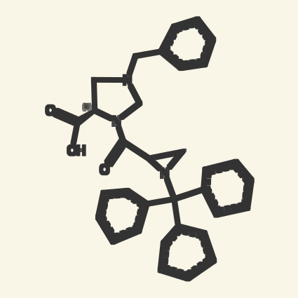 O=C(O)[C@H]1CN(Cc2ccccc2)CN1C(=O)C1CN1C(c1ccccc1)(c1ccccc1)c1ccccc1